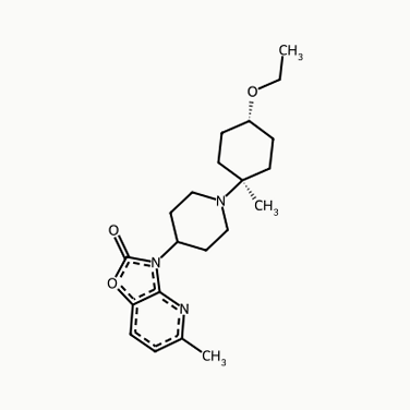 CCO[C@H]1CC[C@](C)(N2CCC(n3c(=O)oc4ccc(C)nc43)CC2)CC1